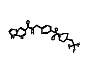 O=C(NCc1ccc(S(=O)(=O)N2CCC(CC(F)(F)F)CC2)cc1)c1cnc2nccn2c1